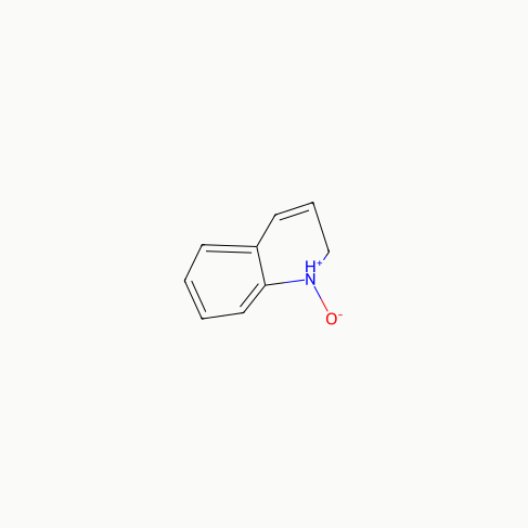 [O-][NH+]1CC=Cc2ccccc21